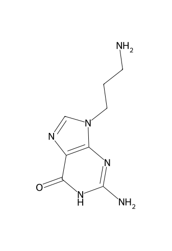 NCCCn1cnc2c(=O)[nH]c(N)nc21